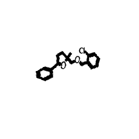 CC1(COCc2ccccc2Cl)CCC(c2ccccc2)O1